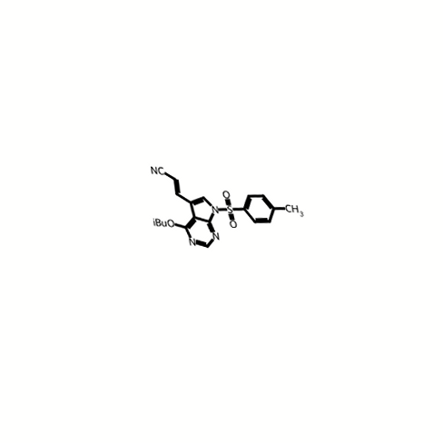 Cc1ccc(S(=O)(=O)n2cc(C=CC#N)c3c(OCC(C)C)ncnc32)cc1